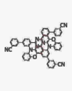 N#Cc1cccc(-c2cccc(-c3nc(-c4ccc(-c5cccc(C#N)c5)cc4N4c5ccccc5Oc5ccccc54)nc(-c4ccc(-c5cccc(C#N)c5)cc4N4c5ccccc5Oc5ccccc54)n3)c2)c1